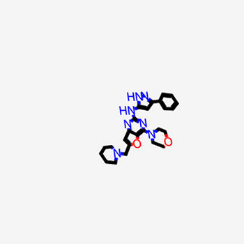 c1ccc(-c2cc(Nc3nc(N4CCOCC4)c4oc(CN5CCCCC5)cc4n3)[nH]n2)cc1